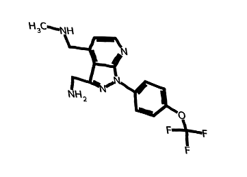 CNCc1ccnc2c1c(CN)nn2-c1ccc(OC(F)(F)F)cc1